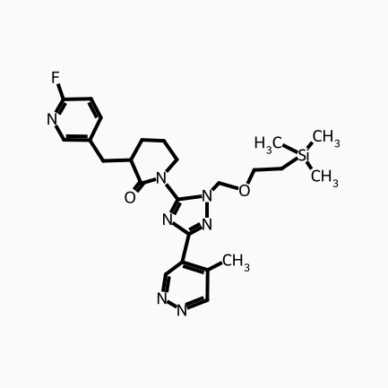 Cc1cnncc1-c1nc(N2CCCC(Cc3ccc(F)nc3)C2=O)n(COCC[Si](C)(C)C)n1